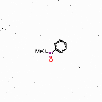 CO[P](=O)c1ccccc1